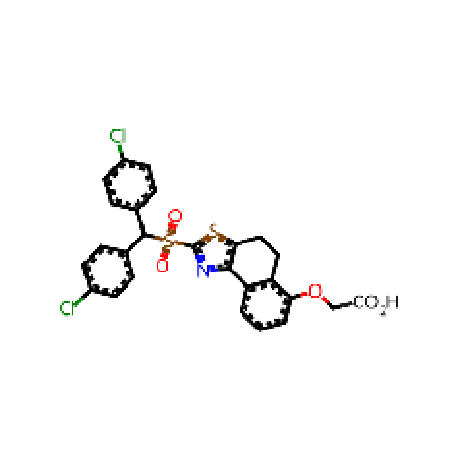 O=C(O)COc1cccc2c1CCc1sc(S(=O)(=O)C(c3ccc(Cl)cc3)c3ccc(Cl)cc3)nc1-2